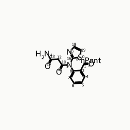 CCCCCC(=O)c1ccccc1N(C(=O)CC(N)=O)c1nccs1